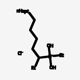 CCCCCCCCCCCC(CC)[N+](O)(O)CC.[Cl-]